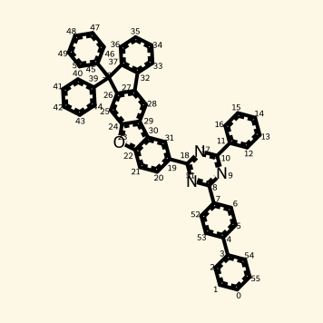 c1ccc(-c2ccc(-c3nc(-c4ccccc4)nc(-c4ccc5oc6cc7c(cc6c5c4)-c4ccccc4C7(c4ccccc4)c4ccccc4)n3)cc2)cc1